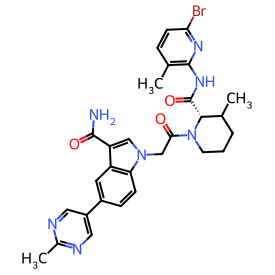 Cc1ncc(-c2ccc3c(c2)c(C(N)=O)cn3CC(=O)N2CCCC(C)[C@H]2C(=O)Nc2nc(Br)ccc2C)cn1